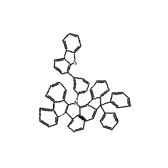 c1ccc(-c2c(N(c3cccc(-c4cccc5c4sc4ccccc45)c3)c3cccc4c3-c3ccccc3C4(c3ccccc3)c3ccccc3)c3ccccc3c3ccccc23)cc1